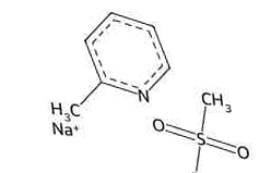 CS(=O)(=O)[O-].Cc1ccccn1.[Na+]